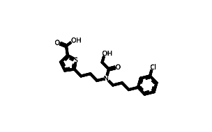 O=C(O)c1ccc(CCCN(CCCc2cccc(Cl)c2)C(=O)CO)s1